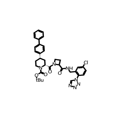 CC(C)(C)OC(=O)N1CC[C@H](c2ccc(-c3ccccc3)cc2)C[C@@H]1C(=O)N1CCC1C(=O)NCc1cc(Cl)ccc1-n1cnnn1